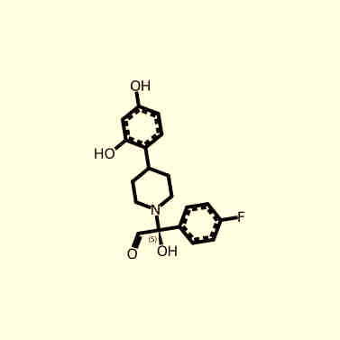 O=C[C@@](O)(c1ccc(F)cc1)N1CCC(c2ccc(O)cc2O)CC1